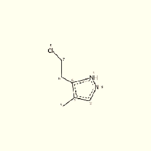 Cc1cn[nH]c1CCCl